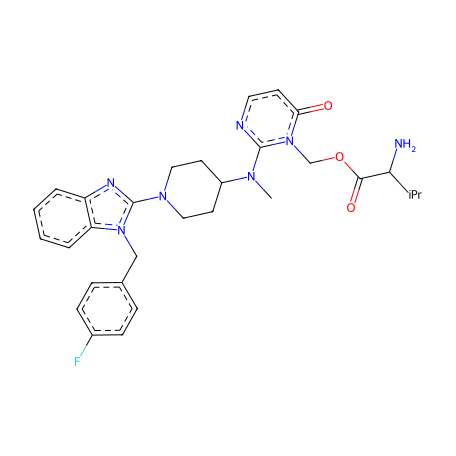 CC(C)C(N)C(=O)OCn1c(N(C)C2CCN(c3nc4ccccc4n3Cc3ccc(F)cc3)CC2)nccc1=O